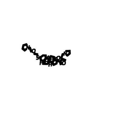 C[C@]12CC[C@H](SCCOCCN3CCCC3)C[C@H]1CC[C@@H]1[C@@H]2CC[C@@]2(C)[C@H]1CC[C@@]2(OCCN1CCCC1)c1ccoc1